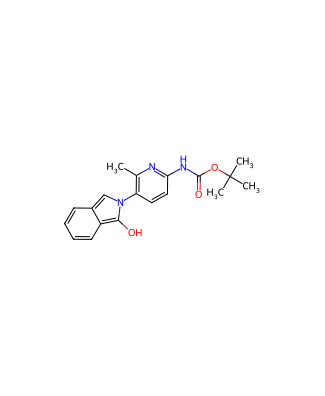 Cc1nc(NC(=O)OC(C)(C)C)ccc1-n1cc2ccccc2c1O